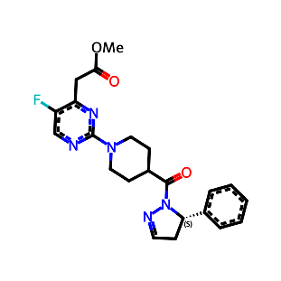 COC(=O)Cc1nc(N2CCC(C(=O)N3N=CC[C@H]3c3ccccc3)CC2)ncc1F